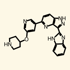 c1ccc2[nH]c(-c3n[nH]c4ccc(-c5cncc(OC6CCNCC6)c5)nc34)nc2c1